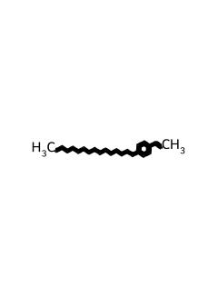 CC=Cc1ccc(CCCCCCCCCCCCCCCC)cc1